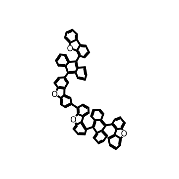 c1ccc2c(c1)oc1c(-c3c4ccccc4c(-c4ccc5oc6ccc(-c7cccc8c7oc7cccc(-c9c%10ccccc%10c(-c%10cccc%11oc%12ccccc%12c%10%11)c%10ccccc9%10)c78)cc6c5c4)c4ccccc34)cccc12